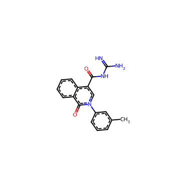 Cc1cccc(-n2cc(C(=O)NC(=N)N)c3ccccc3c2=O)c1